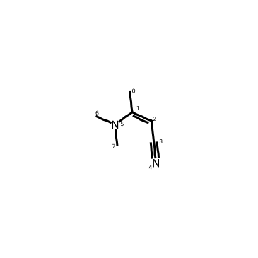 C/C(=C/C#N)N(C)C